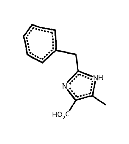 Cc1[nH]c(Cc2ccccc2)nc1C(=O)O